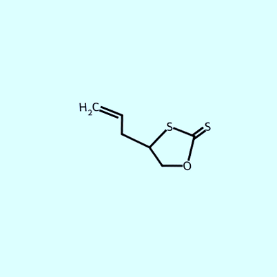 C=CCC1COC(=S)S1